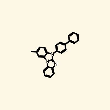 Cc1ccc2c(c1)n1c3ccccc3nc1n2-c1ccc(-c2ccccc2)cc1